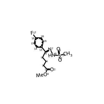 COC(=O)CCCC(=NNS(C)(=O)=O)c1ccc(F)cc1